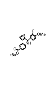 COc1ccc(C(Nc2ccc(C(=O)OC(C)(C)C)cc2)c2cncs2)cc1F